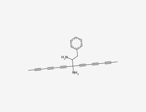 CC#CC#CC#CC(N)(C#CC#CC#CC)C(N)Cc1ccccc1